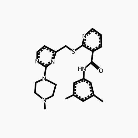 Cc1cc(C)cc(NC(=O)c2cccnc2SCc2ccnc(N3CCN(C)CC3)n2)c1